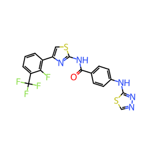 O=C(Nc1nc(-c2cccc(C(F)(F)F)c2F)cs1)c1ccc(Nc2nncs2)cc1